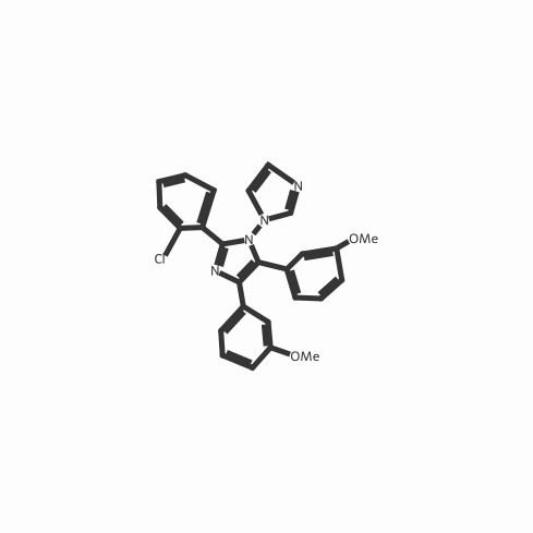 COc1cccc(-c2nc(-c3ccccc3Cl)n(-n3ccnc3)c2-c2cccc(OC)c2)c1